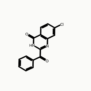 O=C(c1ccccc1)c1nc2cc(Cl)ccc2c(=O)[nH]1